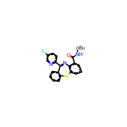 CCCCNC(=O)c1cccc2c1N=C(c1ccc(F)cn1)c1ccccc1S2